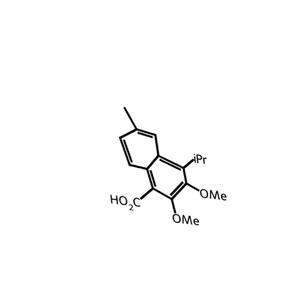 COc1c(OC)c(C(C)C)c2cc(C)ccc2c1C(=O)O